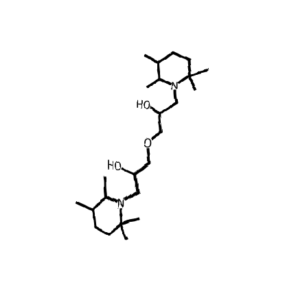 CC1CCC(C)(C)N(CC(O)COCC(O)CN2C(C)C(C)CCC2(C)C)C1C